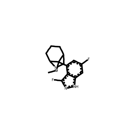 COC1(c2cc(F)cc3[nH]nc(F)c23)C2CCCC1NC2